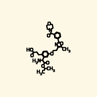 Cc1oc(-c2cccc(C(=O)N3CCOCC3)c2)nc1CCOc1ccc(CCC(=O)O)c(C(N)C(=O)OC(C)C)c1